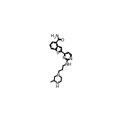 CC1CN(CCCNc2nccc(-c3cc4c(C(N)=O)cccc4s3)n2)CCN1